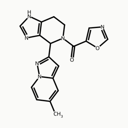 Cc1ccn2nc(C3c4nc[nH]c4CCN3C(=O)c3cnco3)cc2c1